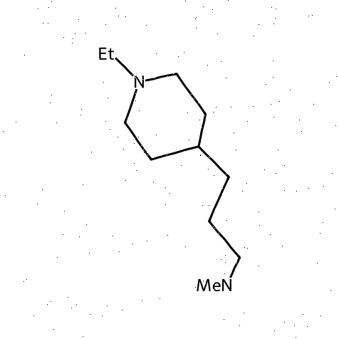 CCN1CCC(CCCNC)CC1